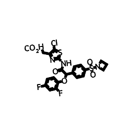 O=C(O)Cc1nc(NC(=O)C(Oc2ccc(F)cc2F)c2ccc(S(=O)(=O)N3CCC3)cc2)sc1Cl